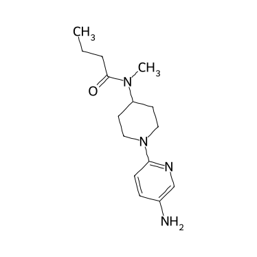 CCCC(=O)N(C)C1CCN(c2ccc(N)cn2)CC1